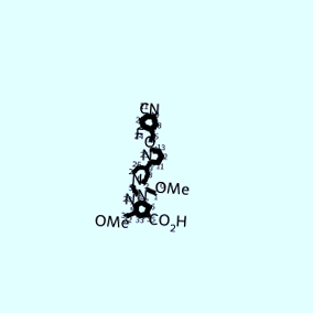 COCCn1c(CN2CCC(c3cccc(OCc4ccc(C#N)cc4F)n3)CC2)nc2c(COC)cc(C(=O)O)cc21